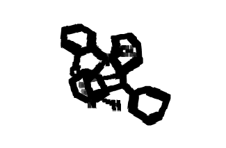 CN(c1ccccc1Cl)[C@@H]1C2CCN(CC2)[C@@H]1C(c1ccccc1)c1ccccc1